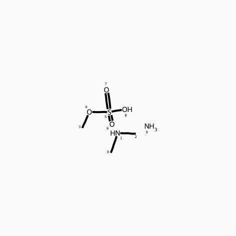 CNC.COS(=O)(=O)O.N